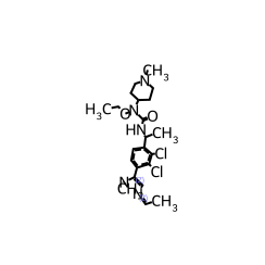 C=N/C(=C\N=C/C)c1ccc(C(C)NC(=O)N(OCC)C2CCN(C)CC2)c(Cl)c1Cl